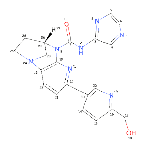 O=C(Nc1cnccn1)N1c2nc(-c3ccc(CO)nc3)ccc2N2CC[C@H]1C2